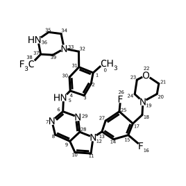 Cc1ccc(Nc2ncc3ccn(-c4cc(F)c(CN5CCOCC5)c(F)c4)c3n2)cc1CN1CCNC(C(F)(F)F)C1